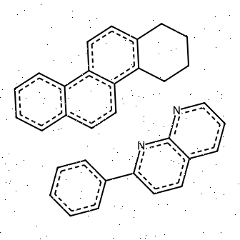 c1ccc(-c2ccc3cccnc3n2)cc1.c1ccc2c(c1)ccc1c3c(ccc12)CCCC3